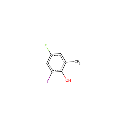 Oc1c(I)cc(F)cc1C(F)(F)F